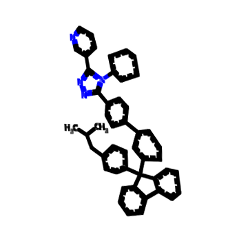 CC(C)Cc1ccc(C2(c3cccc(-c4ccc(-c5nnc(-c6cccnc6)n5-c5ccccc5)cc4)c3)c3ccccc3-c3ccccc32)cc1